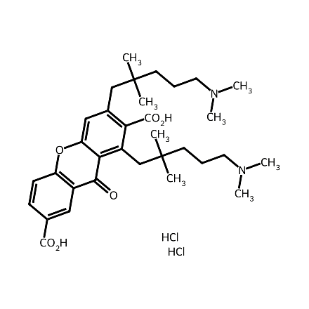 CN(C)CCCC(C)(C)Cc1cc2oc3ccc(C(=O)O)cc3c(=O)c2c(CC(C)(C)CCCN(C)C)c1C(=O)O.Cl.Cl